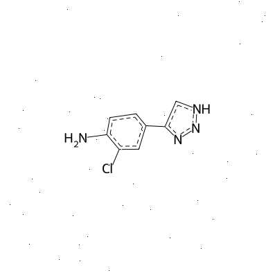 Nc1ccc(-c2c[nH]nn2)cc1Cl